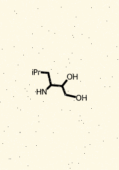 CC(C)CC([NH])C(O)CO